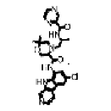 C[C@@H](CN1CC(C)(C)OCC1C(=O)Nc1cc(Cl)cc2c1[nH]c1cnccc12)NC(=O)c1cnccn1